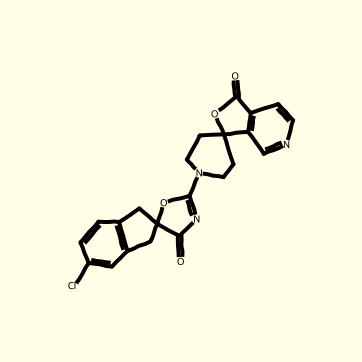 O=C1OC2(CCN(C3=NC(=O)C4(Cc5ccc(Cl)cc5C4)O3)CC2)c2cnccc21